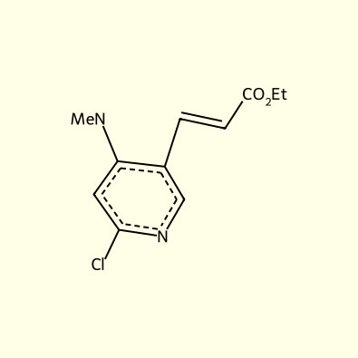 CCOC(=O)C=Cc1cnc(Cl)cc1NC